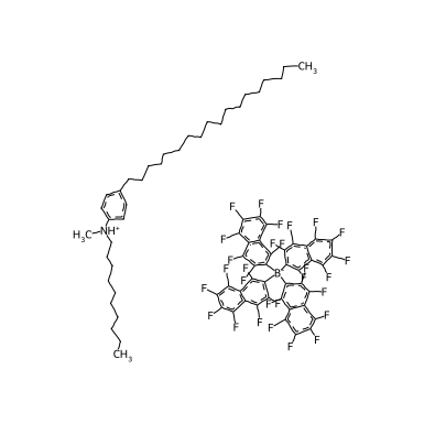 CCCCCCCCCCCCCCCCCCc1ccc([NH+](C)CCCCCCCCCC)cc1.Fc1c(F)c(F)c2c(F)c([B-](c3c(F)c(F)c4c(F)c(F)c(F)c(F)c4c3F)(c3c(F)c(F)c4c(F)c(F)c(F)c(F)c4c3F)c3c(F)c(F)c4c(F)c(F)c(F)c(F)c4c3F)c(F)c(F)c2c1F